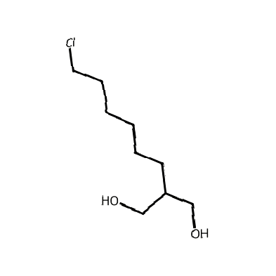 OCC(CO)CCCCCCCl